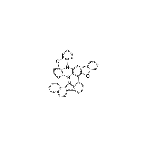 c1ccc2c(c1)Oc1cccc3c1N2c1cc2c(oc4ccccc42)c2c1B3n1c3c-2cccc3c2ccc3ccccc3c21